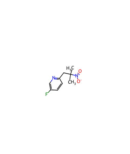 CC(C)(Cc1ccc(F)cn1)[N+](=O)[O-]